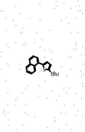 CC(C)(C)c1ccc(-c2cccc3ccccc23)s1